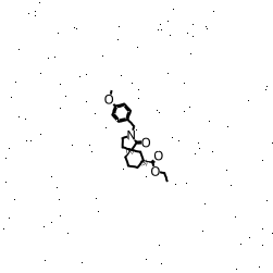 CCOC(=O)[C@H]1CCC[C@]2(CCN(Cc3ccc(OC)cc3)C2=O)C1